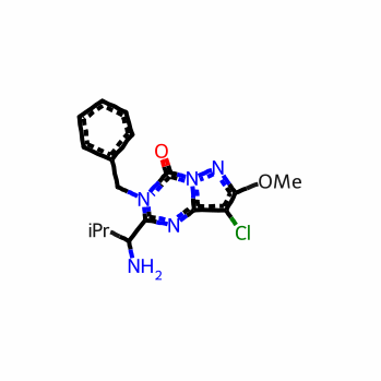 COc1nn2c(=O)n(Cc3ccccc3)c(C(N)C(C)C)nc2c1Cl